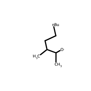 CCCCCCC(C)C(C)[O]